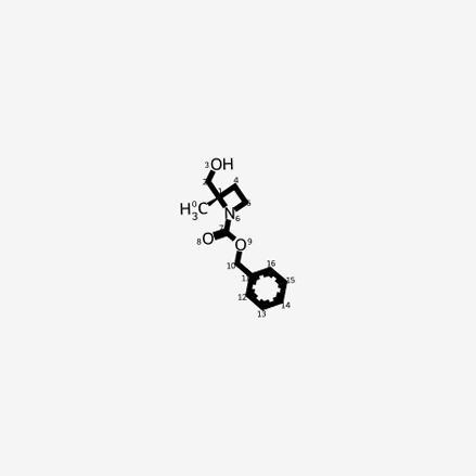 C[C@@]1(CO)CCN1C(=O)OCc1ccccc1